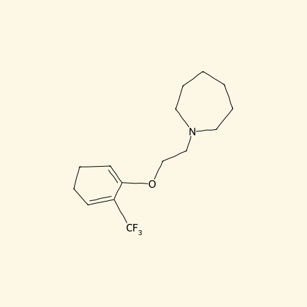 FC(F)(F)C1=CCCC=C1OCCN1CCCCCC1